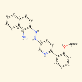 CCCCCCOc1ccccc1-c1ccc(N=Nc2ccc3ccccc3c2N)cn1